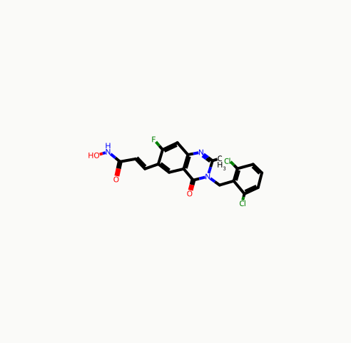 Cc1nc2cc(F)c(/C=C/C(=O)NO)cc2c(=O)n1Cc1c(Cl)cccc1Cl